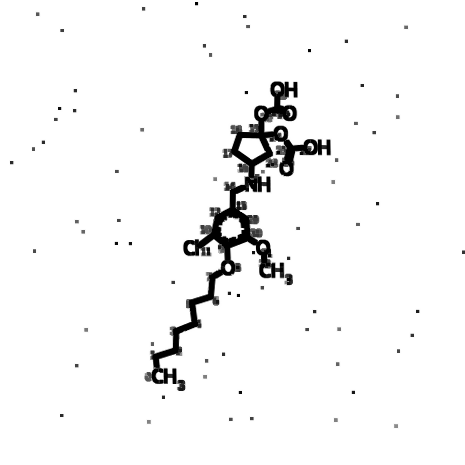 CCCCCCCCOc1c(Cl)cc(CNC2CCC(OC(=O)O)(OC(=O)O)C2)cc1OC